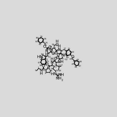 CCNC(=O)[C@@H]1CCCN1C(=O)[C@H](CCCNC(=N)N)NC(=O)[C@H](CC(C)C)NC(=O)[C@@H](C)NC(=O)[C@H](Cc1ccc(OCc2ccccc2)cc1)NC(=O)[C@H](CO)NC(=O)[C@H](Cc1c[nH]c2ccccc12)NC(=O)OCc1ccccc1